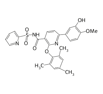 COc1ccc(-c2ccc(C(=O)NS(=O)(=O)c3ccccn3)c(Oc3c(C)cc(C)cc3C)n2)cc1O